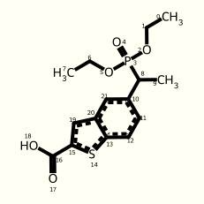 CCOP(=O)(OCC)C(C)c1ccc2sc(C(=O)O)cc2c1